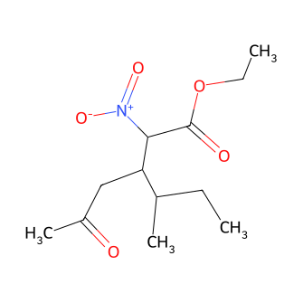 CCOC(=O)C(C(CC(C)=O)C(C)CC)[N+](=O)[O-]